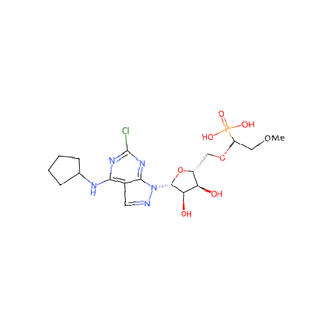 COCC(OC[C@H]1O[C@@H](n2ncc3c(NC4CCCC4)nc(Cl)nc32)[C@H](O)[C@@H]1O)P(=O)(O)O